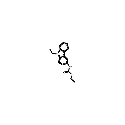 CCOC(=O)Nc1cc2c3ccccc3n(CC)c2cn1